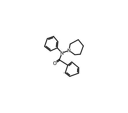 O=C(c1[c]cccc1)N(c1ccccc1)N1CCCCC1